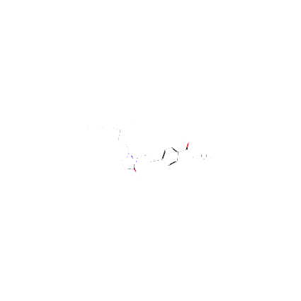 CCCCCC(O)CCN1CCC(=O)N1CCc1ccc(C(=O)OC)cc1